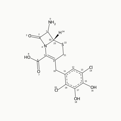 NC1C(=O)N2C(C(=O)O)=C(Cc3cc(Cl)c(O)c(O)c3Cl)CS[C@@H]12